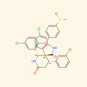 C[S+]([O-])c1ccc(Oc2ccc(Cl)cc2[C@H]2NC(=O)C[C@@H](c3cccc(Cl)c3)[C@]23C(=O)Nc2cc(Cl)ccc23)cc1